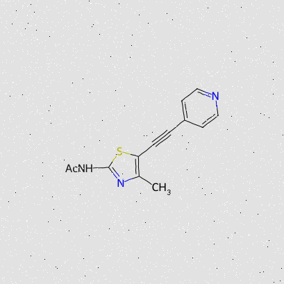 CC(=O)Nc1nc(C)c(C#Cc2ccncc2)s1